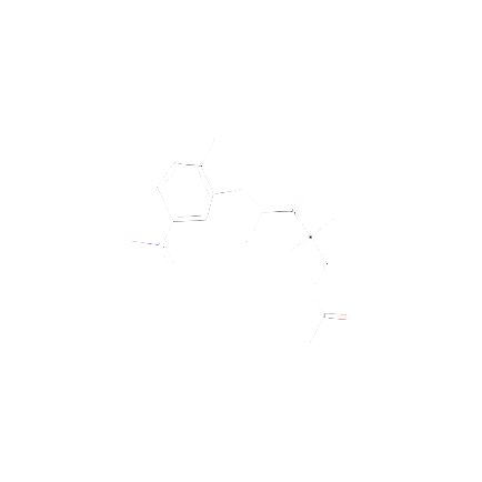 CC(=O)OCC(C)(C)C(=O)C(Br)Oc1cc([N+](=O)[O-])ccc1C